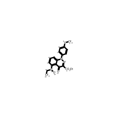 CCOC(=O)c1nn(-c2ccc(OC(F)(F)F)cc2)c2cccc([S+]([O-])CC(F)(F)F)c2c1=O